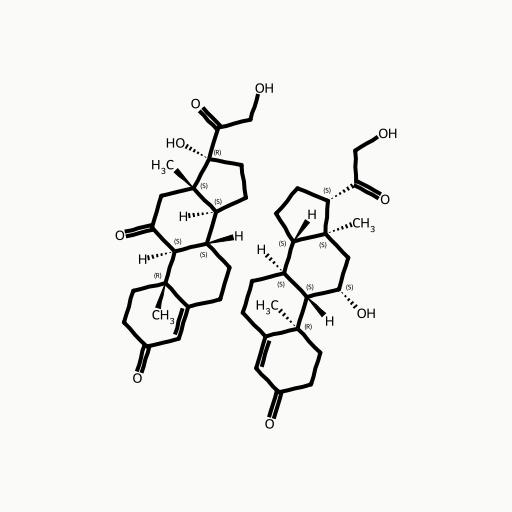 C[C@]12CCC(=O)C=C1CC[C@@H]1[C@@H]2C(=O)C[C@@]2(C)[C@H]1CC[C@]2(O)C(=O)CO.C[C@]12C[C@H](O)[C@H]3[C@@H](CCC4=CC(=O)CC[C@@]43C)[C@@H]1CC[C@@H]2C(=O)CO